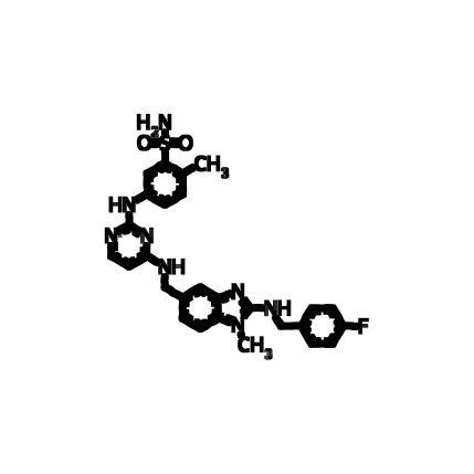 Cc1ccc(Nc2nccc(NCc3ccc4c(c3)nc(NCc3ccc(F)cc3)n4C)n2)cc1S(N)(=O)=O